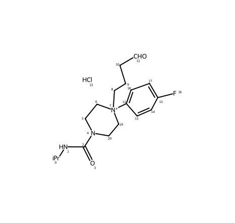 CC(C)NC(=O)N1CC[N+](CCCC=O)(c2ccc(F)cc2)CC1.Cl